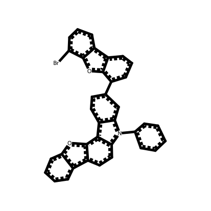 Brc1cccc2c1oc1c(-c3ccc4c5c6oc7ccccc7c6ccc5n(-c5ccccc5)c4c3)cccc12